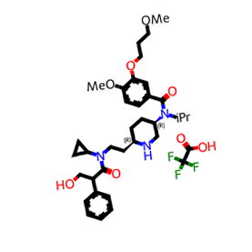 COCCCOc1cc(C(=O)N(C(C)C)[C@@H]2CC[C@H](CCN(C(=O)C(CO)c3ccccc3)C3CC3)NC2)ccc1OC.O=C(O)C(F)(F)F